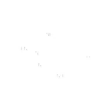 CN1C(N)=C(CCO)C(N)N1N